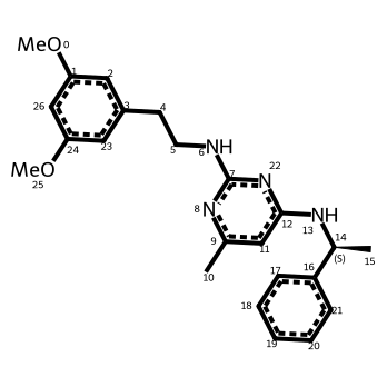 COc1cc(CCNc2nc(C)cc(N[C@@H](C)c3ccccc3)n2)cc(OC)c1